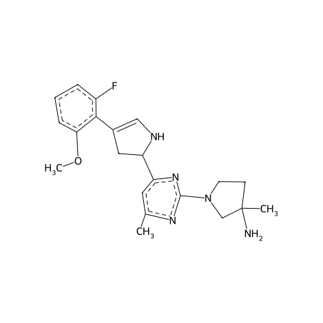 COc1cccc(F)c1C1=CNC(c2cc(C)nc(N3CCC(C)(N)C3)n2)C1